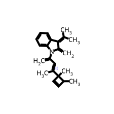 C=C(/C=C(\C)C1(C)C=CC1C)n1c(=C)c(=C(C)C)c2ccccc21